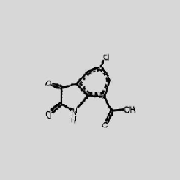 O=C1Nc2c(C(=O)O)cc(Cl)cc2C1=O